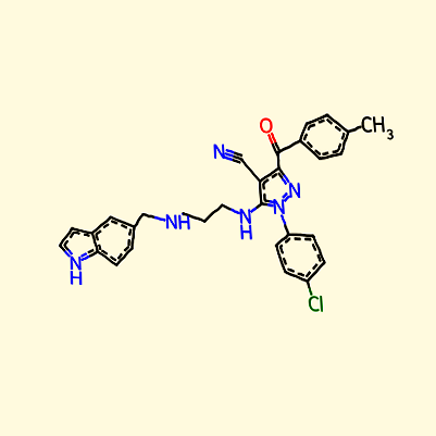 Cc1ccc(C(=O)c2nn(-c3ccc(Cl)cc3)c(NCCCNCc3ccc4[nH]ccc4c3)c2C#N)cc1